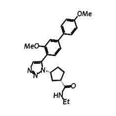 CCNC(=O)[C@H]1CC[C@@H](n2nncc2-c2ccc(-c3ccc(OC)cc3)cc2OC)C1